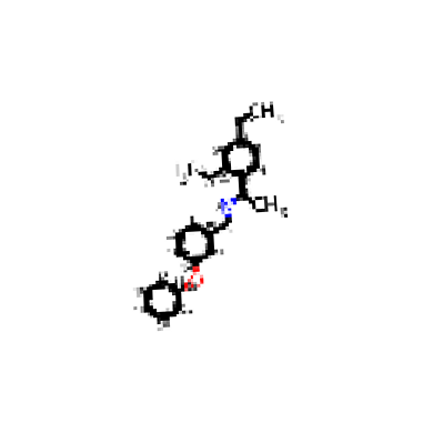 CCc1ccc(C(C)N=Cc2cccc(Oc3ccccc3)c2)c(CC)c1